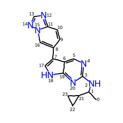 CC(Nc1ncc2c(-c3ccc4ncnn4c3)c[nH]c2n1)C1CC1